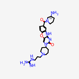 N=C(N)NCCCN1CCCC(n2cc3c(nc2=O)Nc2cc(C(=O)N4CCC[C@H](N)C4)ccc2O3)CC1